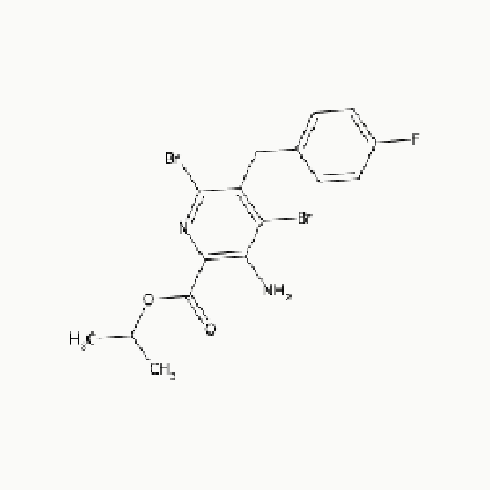 CC(C)OC(=O)c1nc(Br)c(Cc2ccc(F)cc2)c(Br)c1N